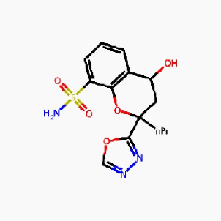 CCCC1(c2nnco2)CC(O)c2cccc(S(N)(=O)=O)c2O1